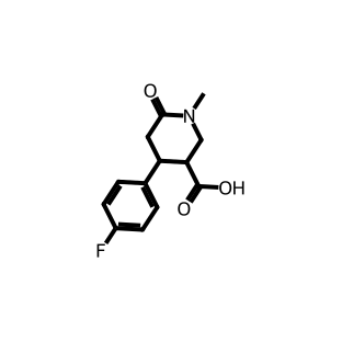 CN1CC(C(=O)O)C(c2ccc(F)cc2)CC1=O